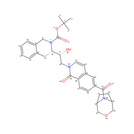 CC(C)(C)OC(=O)N1Cc2ccccc2C[C@H]1[C@H](O)Cn1ccc2cc(C(=O)N3C4CCC3COC4)ccc2c1=O